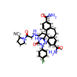 N#CC1CCCN1C(=O)CNCCC1(c2nn(-c3ccc(F)cc3)c(=O)[nH]2)c2ccc(C(N)=O)cc2CCc2cc(C(N)=O)ccc21